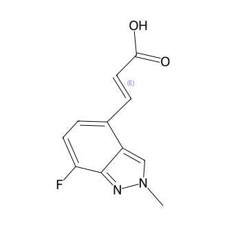 Cn1cc2c(/C=C/C(=O)O)ccc(F)c2n1